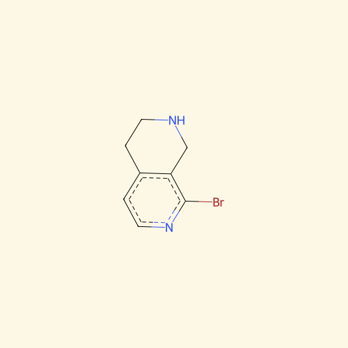 Brc1nccc2c1CNCC2